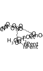 CCCCCCCCC(CCCCCCCC)OC(=O)CCCCCCCOC(=O)[C@@H]1C[C@H](OC(=O)CCC(=O)N2CCN(C)CC2)CN1CCCCCCC(C)(C)C(=O)OCCCC(CCCCC)CCCCC